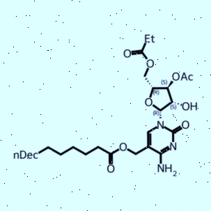 CCCCCCCCCCCCCCCC(=O)OCc1cn([C@@H]2O[C@H](COC(=O)CC)[C@@H](OC(C)=O)[C@@H]2O)c(=O)nc1N